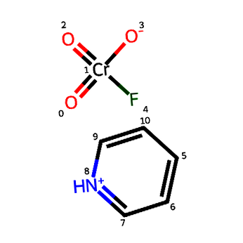 [O]=[Cr](=[O])([O-])[F].c1cc[nH+]cc1